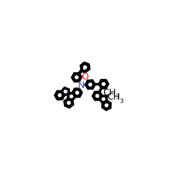 CC1(C)c2ccccc2-c2cccc(-c3ccccc3-c3ccc(N(c4ccc5c(c4)C4(CCc6ccccc64)c4ccccc4-5)c4cccc5c4oc4ccccc45)cc3)c21